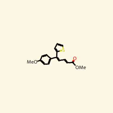 COC(=O)C=CC=C(c1ccc(OC)cc1)c1cccs1